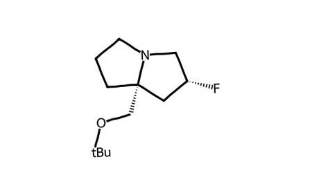 CC(C)(C)OC[C@]12CCCN1C[C@H](F)C2